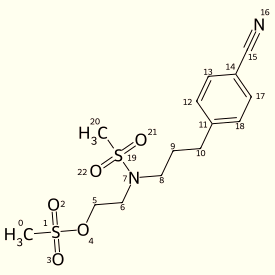 CS(=O)(=O)OCCN(CCCc1ccc(C#N)cc1)S(C)(=O)=O